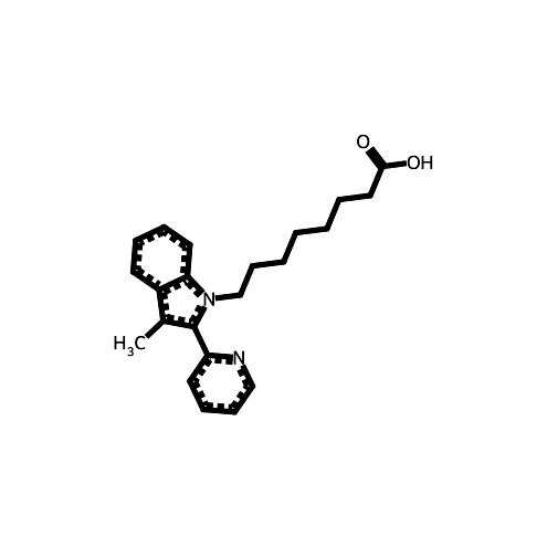 Cc1c(-c2ccccn2)n(CCCCCCCC(=O)O)c2ccccc12